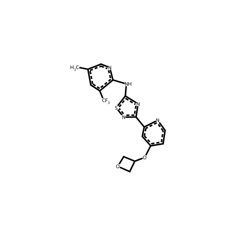 Cc1cnc(Nc2nc(-c3cc(OC4COC4)ccn3)ns2)c(C(F)(F)F)c1